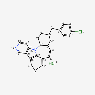 Cl.Clc1ccc(CC2CCC3C(C=CC4=CCCc5c4n3c3ccncc53)C2)cc1